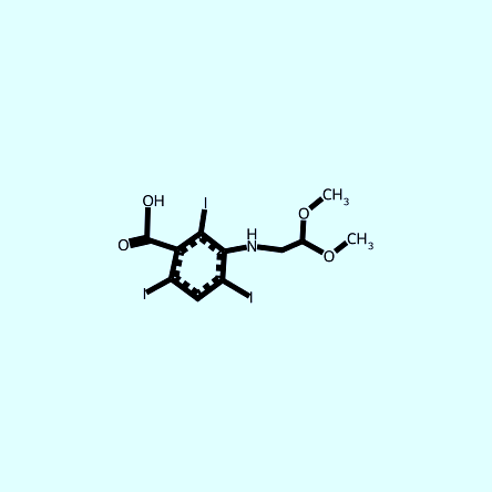 COC(CNc1c(I)cc(I)c(C(=O)O)c1I)OC